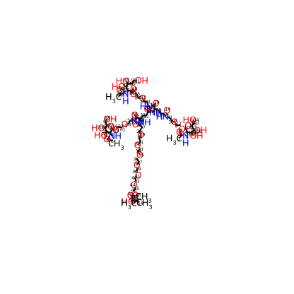 CC(=O)NC1C(OCCOCCNC(=O)CCC(NC(=O)CCC(NC(=O)CCOCCOCCOCCOCCOCCOCCOP(=O)(O)C(C)(C)C)C(=O)NCCOCCOC2OC(CO)C(O)C(O)C2NC(C)=O)C(=O)NCCOCCOC2OC(CO)C(O)C(O)C2NC(C)=O)OC(CO)C(O)C1O